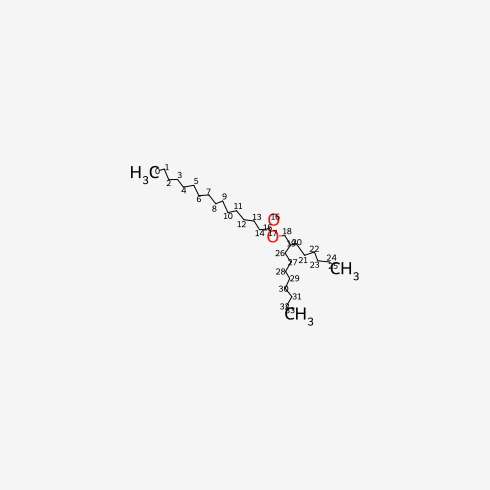 CCCCCCCCCCCCCCCC(=O)OCC(CCCCCC)CCCCCCCC